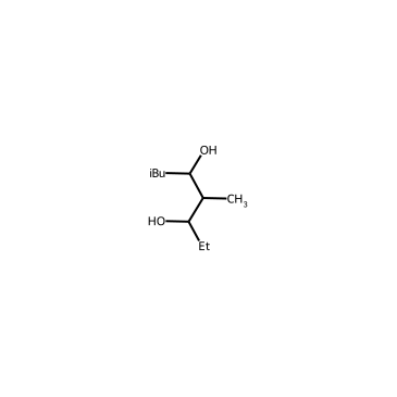 CCC(C)C(O)C(C)C(O)CC